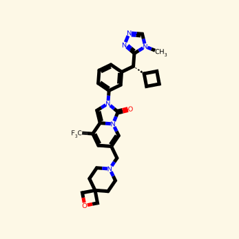 Cn1cnnc1[C@@H](c1cccc(-n2cc3c(C(F)(F)F)cc(CN4CCC5(CC4)COC5)cn3c2=O)c1)C1CCC1